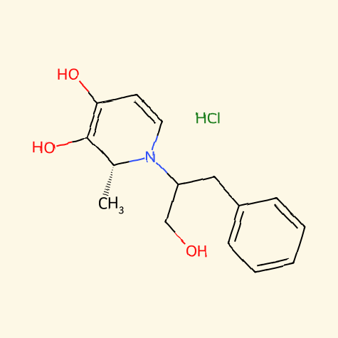 C[C@@H]1C(O)=C(O)C=CN1C(CO)Cc1ccccc1.Cl